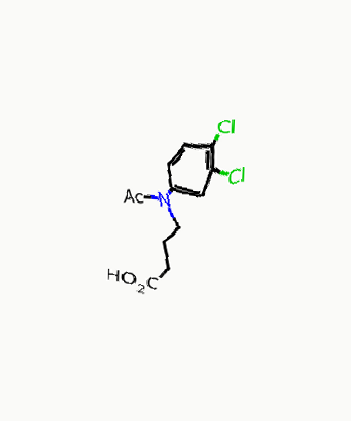 CC(=O)N(CCCC(=O)O)c1ccc(Cl)c(Cl)c1